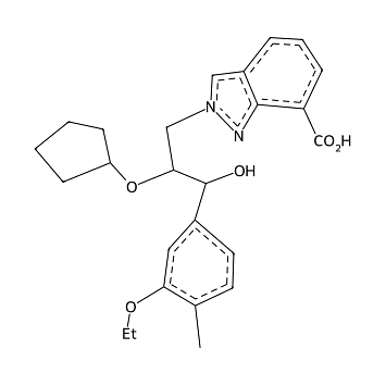 CCOc1cc(C(O)C(Cn2cc3cccc(C(=O)O)c3n2)OC2CCCC2)ccc1C